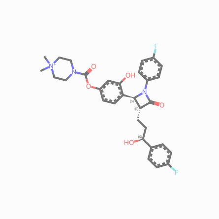 C[N+]1(C)CCN(C(=O)Oc2ccc([C@@H]3[C@@H](CC[C@H](O)c4ccc(F)cc4)C(=O)N3c3ccc(F)cc3)c(O)c2)CC1